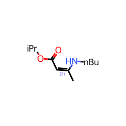 CCCCN/C(C)=C\C(=O)OC(C)C